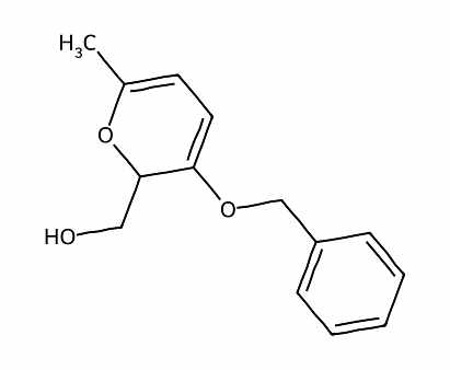 CC1=CC=C(OCc2ccccc2)C(CO)O1